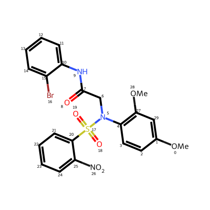 COc1ccc(N(CC(=O)Nc2ccccc2Br)S(=O)(=O)c2ccccc2[N+](=O)[O-])c(OC)c1